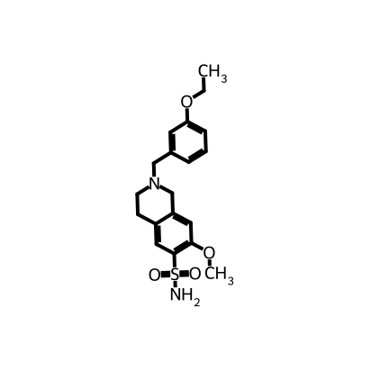 CCOc1cccc(CN2CCc3cc(S(N)(=O)=O)c(OC)cc3C2)c1